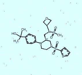 CC(C)(O)c1ccc(N2CCN(S(=O)(=O)c3cccs3)C[C@@H]2CN(C2COC2)S(C)(=O)=O)cc1